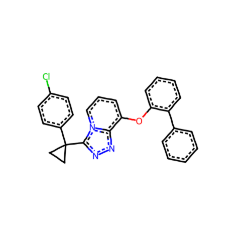 Clc1ccc(C2(c3nnc4c(Oc5ccccc5-c5ccccc5)cccn34)CC2)cc1